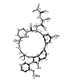 CCn1c(-c2cnccc2COC)c2c3cc(ccc31)-c1cc(O)cc(c1)C[C@H](NC(=O)[C@@H](OC(=O)N(C)C)C(C)C)C(=O)N1CCCC(C=O)(COCC(C)(C)C2)N1